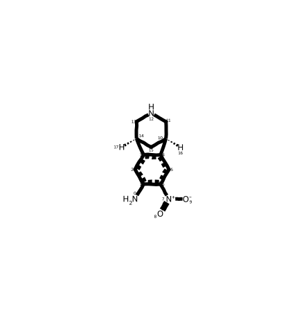 Nc1cc2c(cc1[N+](=O)[O-])[C@@H]1CNC[C@H]2C1